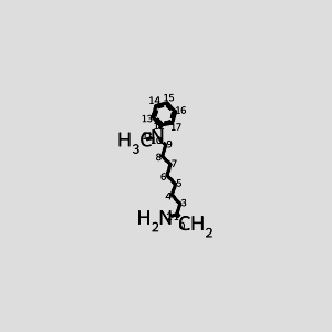 C=C(N)CCCCCCCN(C)c1ccccc1